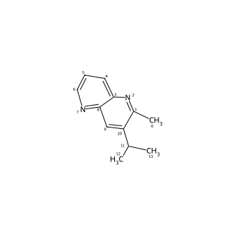 Cc1nc2cccnc2cc1C(C)C